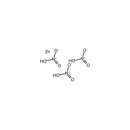 O=[N+]([O-])O.O=[N+]([O-])O.O=[N+]([O-])O.[Zn]